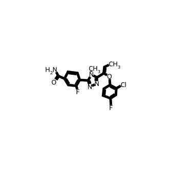 C/C=C(\Oc1ccc(F)cc1Cl)c1nnc(-c2ccc(C(N)=O)cc2F)n1C